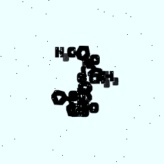 CCC(CC)C(=O)N(CCOc1ccc(C[C@H](Nc2ccccc2C(=O)c2ccccc2)C(=O)O)cc1)c1cccc(C)c1